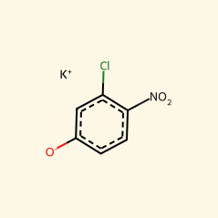 O=[N+]([O-])c1ccc([O-])cc1Cl.[K+]